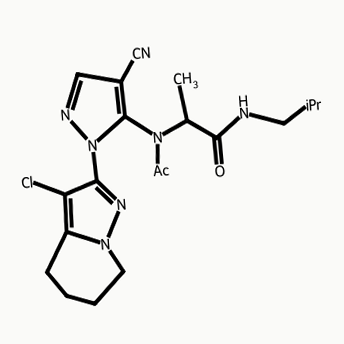 CC(=O)N(c1c(C#N)cnn1-c1nn2c(c1Cl)CCCC2)C(C)C(=O)NCC(C)C